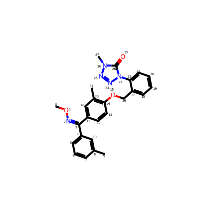 CO/N=C(/c1cccc(C)c1)c1ccc(OCc2ccccc2-n2nnn(C)c2=O)c(C)c1